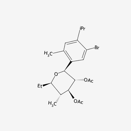 CC[C@H]1O[C@@H](c2cc(Br)c(C(C)C)cc2C)[C@H](OC(C)=O)[C@@H](OC(C)=O)[C@@H]1C